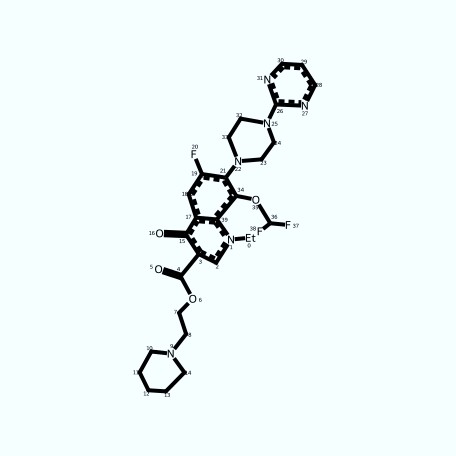 CCn1cc(C(=O)OCCN2CCCCC2)c(=O)c2cc(F)c(N3CCN(c4ncccn4)CC3)c(OC(F)F)c21